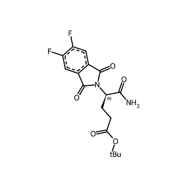 CC(C)(C)OC(=O)CC[C@H](C(N)=O)N1C(=O)c2cc(F)c(F)cc2C1=O